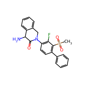 CS(=O)(=O)c1c(-c2ccccc2)ccc(N2Cc3ccccc3C(N)C2=O)c1F